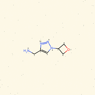 NCc1cn(C2COC2)nn1